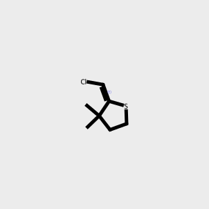 CC1(C)CCS/C1=C/Cl